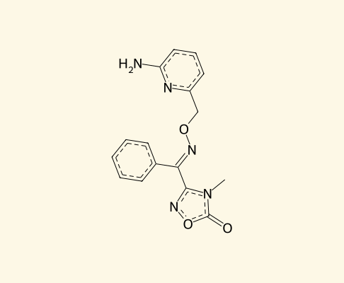 Cn1c(/C(=N/OCc2cccc(N)n2)c2ccccc2)noc1=O